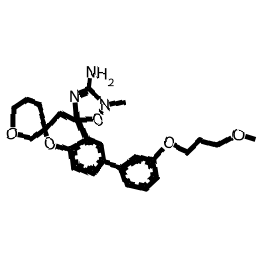 COCCCOc1cccc(-c2ccc3c(c2)C2(CC4(CCCOC4)O3)N=C(N)N(C)O2)c1